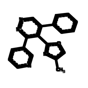 Cc1coc(-c2c(-c3ccccc3)cnnc2-c2cccnc2)n1